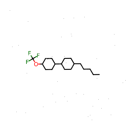 CCCCCC1CCC(C2CCC(OC(F)(F)F)CC2)CC1